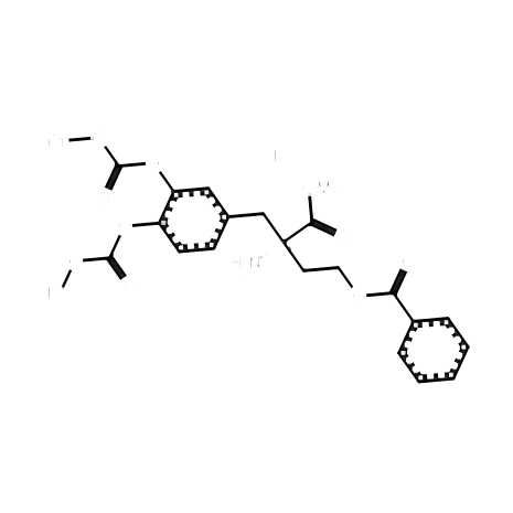 COC(=O)[C@@](N)(CCOC(=O)c1ccccc1)Cc1ccc(OC(=O)OC(C)C)c(OC(=O)OC(C)C)c1.Cl